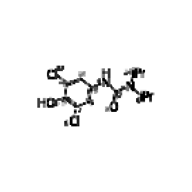 CC(C)N(C(=O)Nc1cc(Cl)c(O)c(Cl)c1)C(C)C